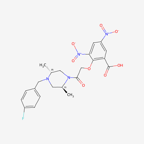 C[C@@H]1CN(C(=O)COc2c(C(=O)O)cc([N+](=O)[O-])cc2[N+](=O)[O-])[C@@H](C)CN1Cc1ccc(F)cc1